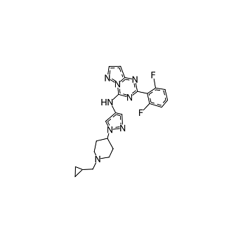 Fc1cccc(F)c1-c1nc(Nc2cnn(C3CCN(CC4CC4)CC3)c2)n2nccc2n1